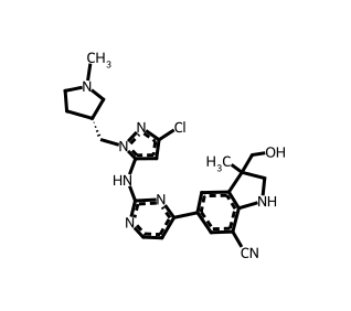 CN1CC[C@@H](Cn2nc(Cl)cc2Nc2nccc(-c3cc(C#N)c4c(c3)C(C)(CO)CN4)n2)C1